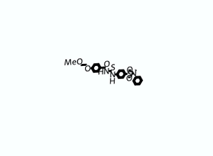 COCCOc1ccc(C(=O)NC(=S)Nc2ccc(S(=O)(=O)N(C)c3ccccc3)cc2)cc1